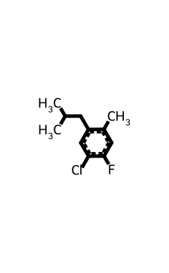 Cc1cc(F)c(Cl)cc1CC(C)C